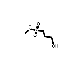 CNS(=O)(=O)CCCO